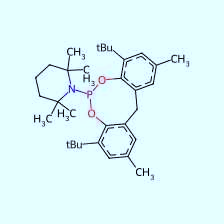 Cc1cc2c(c(C(C)(C)C)c1)OP(N1C(C)(C)CCCC1(C)C)Oc1c(cc(C)cc1C(C)(C)C)C2